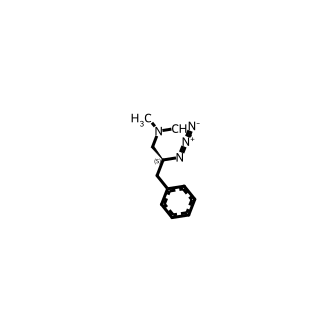 CN(C)C[C@H](Cc1ccccc1)N=[N+]=[N-]